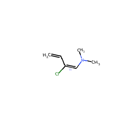 C=C/C(Cl)=C\N(C)C